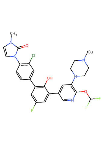 Cn1ccn(-c2ccc(-c3cc(F)cc(-c4cnc(OC(F)F)c(N5CCN(C(C)(C)C)CC5)c4)c3O)cc2Cl)c1=O